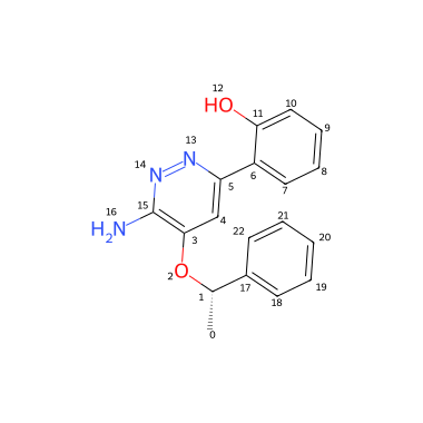 C[C@H](Oc1cc(-c2ccccc2O)nnc1N)c1ccccc1